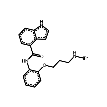 CC(C)NCCCOc1ccccc1NC(=O)c1cccc2[nH]ccc12